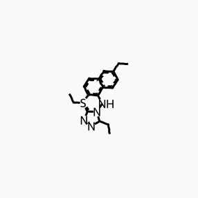 CCc1ccc2c3c(ccc2c1)S(CC)=C1N=NC(CC)N1N3